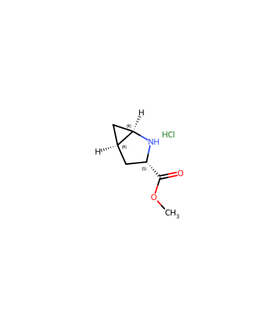 COC(=O)[C@@H]1C[C@H]2C[C@H]2N1.Cl